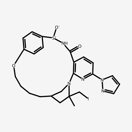 CC1(CI)CC2CCCCOc3ccc(cc3)[S+]([O-])NC(=O)c3ccc(-n4cccn4)nc3N1C2